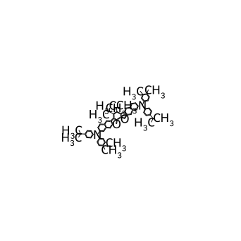 Cc1ccc(N(c2ccc(C(C)C)cc2)c2ccc3cc4c(cc3c2)oc2c3oc5cc6cc(N(c7ccc(C(C)C)cc7)c7ccc(C)c(C)c7)ccc6cc5c3c(C(C)C)c(C(C)C)c42)cc1C